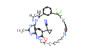 Cc1nc2c3cc(C4(C#N)CC4)c(=O)n(c3n1)CCCCCCN1CC(CCC(F)(F)c3cccc(c3)[C@@H](C)N2)C1